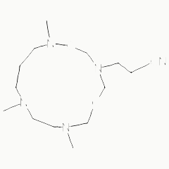 CN1CCCN(C)CCN(CCC#N)CCCN(C)CC1